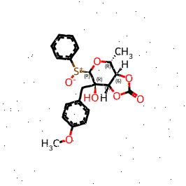 COc1ccc(C[C@]2(O)[C@@H]([S+]([O-])c3ccccc3)O[C@H](C)[C@@H]3OC(=O)O[C@@H]32)cc1